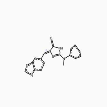 CN(C1=N/C(=C\c2ccc3ncsc3c2)C(=O)N1)c1ccccc1